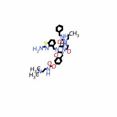 CCCN(C(=O)NCc1ccccc1)N1CC(=O)N2[C@@H](Cc3ccc(OC(=O)NCCN(C)C)cc3)C(=O)N(Cc3cccc4sc(N)nc34)C[C@@H]21